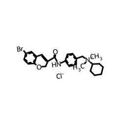 C[N+](C)(Cc1ccc(NC(=O)C2=Cc3cc(Br)ccc3OC2)cc1)C1CCCCC1.[Cl-]